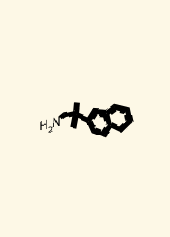 CC(C)(CN)c1ccc2ccccc2c1